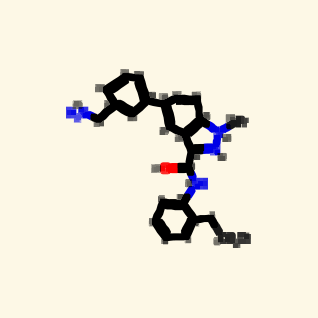 CCOC(=O)Cc1ccccc1NC(=O)c1nn(C(C)C)c2ccc(-c3cccc(CN)c3)cc12